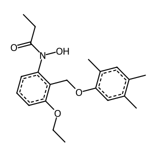 CCOc1cccc(N(O)C(=O)CC)c1COc1cc(C)c(C)cc1C